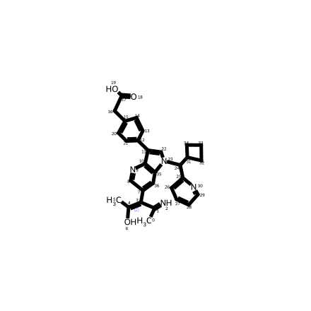 CC(=N)/C(=C(/C)O)c1cnc2c(-c3ccc(CC(=O)O)cc3)cn(C(c3ccccn3)C3CCC3)c2c1